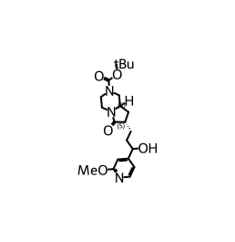 COc1cc(C(O)CC[C@H]2C[C@H]3CN(C(=O)OC(C)(C)C)CCN3C2=O)ccn1